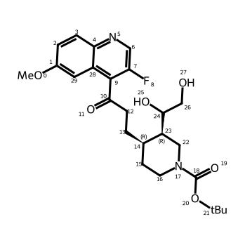 COc1ccc2ncc(F)c(C(=O)CC[C@@H]3CCN(C(=O)OC(C)(C)C)C[C@@H]3C(O)CO)c2c1